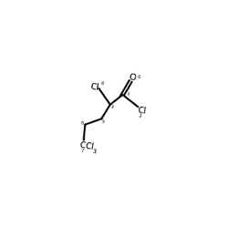 O=C(Cl)C(Cl)CCC(Cl)(Cl)Cl